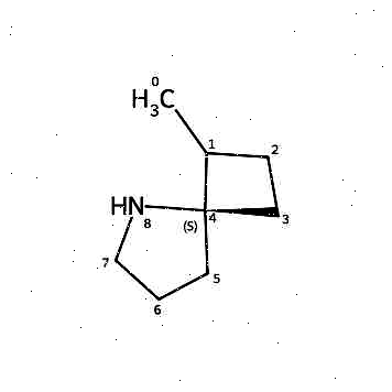 CC1CC[C@]12CCCN2